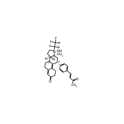 CC(=O)C=Cc1ccc([C@H]2C[C@@]3(C)[C@@H](CC[C@@]3(O)C(F)(F)C(F)(F)F)[C@@H]3CCC4=CC(=O)CCC4=C32)cc1